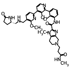 CNC(=O)CCN1CCc2c(nc(C(=O)Nc3cccc(-c4nccc(-c5ccc(CNC[C@@H]6CCC(=O)N6)c(OC)n5)c4Cl)c3Cl)n2C)C1